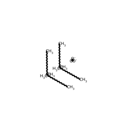 CCCCCCCCCCCCCCCCCC[N+](C)(C)CCCCCCCCCCCCCCCCCC.CCCCCCCCCCCCCCCCCC[N+](C)(C)CCCCCCCCCCCCCCCCCC.O=C([O-])[O-]